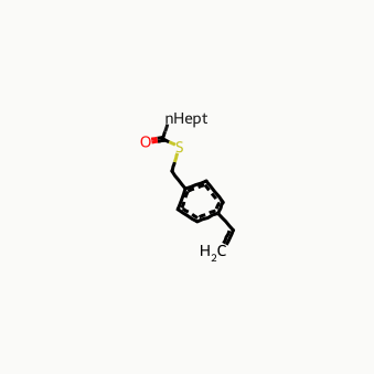 C=Cc1ccc(CSC(=O)CCCCCCC)cc1